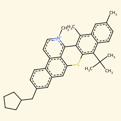 Cc1ccc2c(C(C)(C)C)c3c(c(C)c2c1)-c1c2c(cc4cc(CC5CCCC5)ccc4c2cc[n+]1C)S3